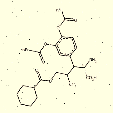 CCCC(=O)Oc1ccc(C(C(C)COC(=O)C2CCCCC2)[C@H](N)C(=O)O)cc1OC(=O)CCC